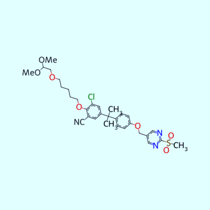 COC(COCCCCCOc1c(Cl)cc(C(C)(C)c2ccc(OCc3cnc(S(C)(=O)=O)nc3)cc2)cc1C#N)OC